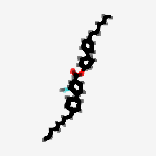 CCCCCCCCc1ccc(-c2ccc(C(=O)Oc3ccc(-c4ccc(CCCCCC)cc4)cc3)cc2F)cc1